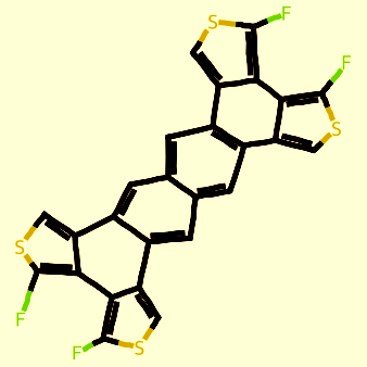 Fc1scc2c3cc4cc5c(cc4cc3c3csc(F)c3c12)c1csc(F)c1c1c(F)scc51